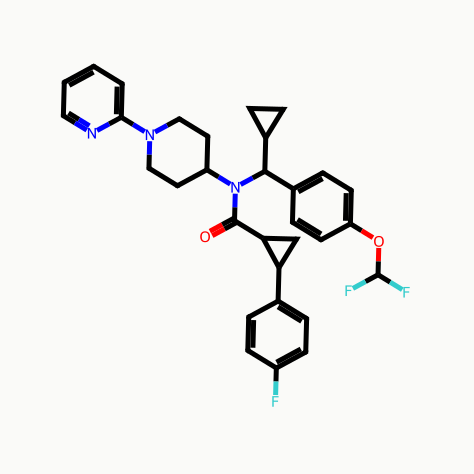 O=C(C1CC1c1ccc(F)cc1)N(C1CCN(c2ccccn2)CC1)C(c1ccc(OC(F)F)cc1)C1CC1